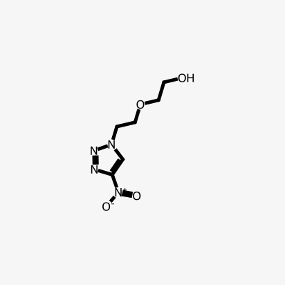 O=[N+]([O-])c1cn(CCOCCO)nn1